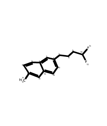 Cc1ccc2cc(CCCC(F)F)ccc2c1